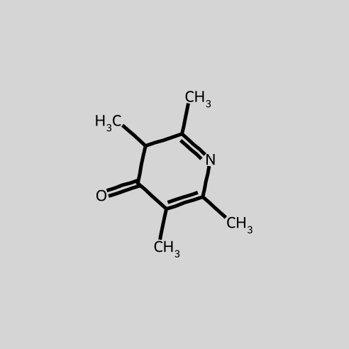 CC1=NC(C)=C(C)C(=O)C1C